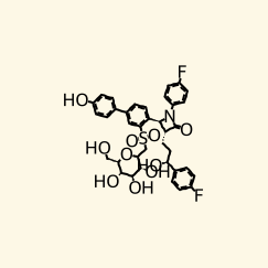 O=C1[C@H](CC[C@H](O)c2ccc(F)cc2)[C@@H](c2ccc(-c3ccc(O)cc3)cc2S(=O)(=O)CC2O[C@H](CO)[C@@H](O)[C@H](O)[C@H]2O)N1c1ccc(F)cc1